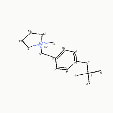 CC(C)(C)Cc1ccc(C[N+]2(C)CCCC2)cc1